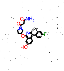 CC(C)c1nc(OC2CCN(C(=O)CC(N)=O)C2)c2cc(O)ccc2c1-c1ccc(F)cc1